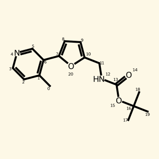 Cc1ccncc1-c1ccc(CNC(=O)OC(C)(C)C)o1